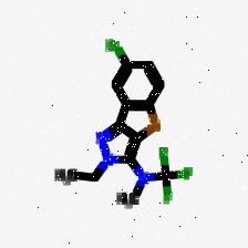 CCn1nc2c(sc3ccc(Br)cc32)c1N(C)C(F)(F)F